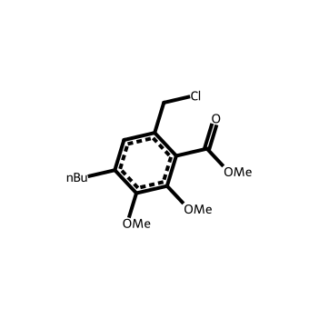 CCCCc1cc(CCl)c(C(=O)OC)c(OC)c1OC